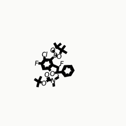 CN(C[C@]1(c2ccccc2)Oc2cc(F)c(Cl)c(B3OC(C)(C)C(C)(C)O3)c2[C@@H]1F)C(=O)OC(C)(C)C